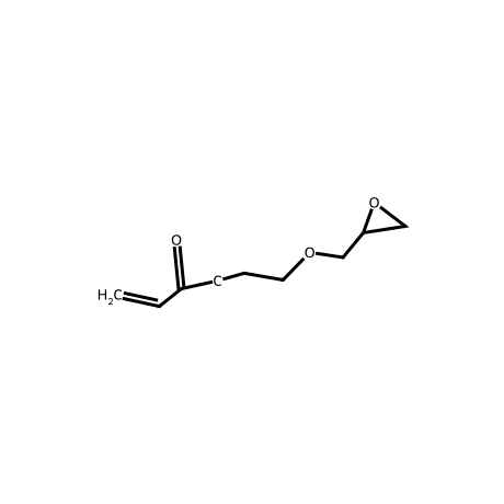 C=CC(=O)CCCOCC1CO1